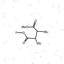 COC(=O)C(C(C(=O)OF)C(C)(C)C)C(C)(C)C